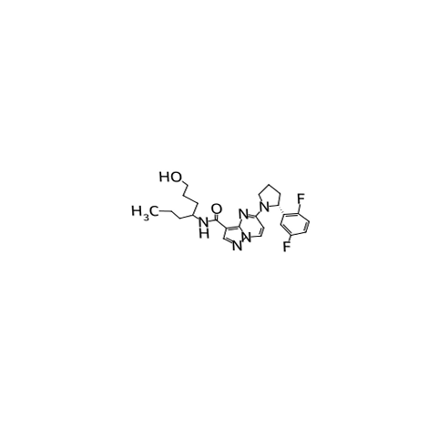 CCCC(CCCO)NC(=O)c1cnn2ccc(N3CCC[C@@H]3c3cc(F)ccc3F)nc12